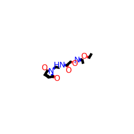 CCO/C(C)=N/OCC(=O)NCCN1C(=O)C=CC1=O